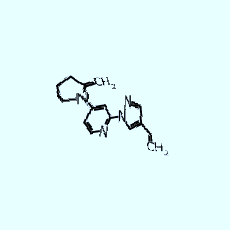 C=Cc1cnn(-c2cc(N3CCCC3=C)ccn2)c1